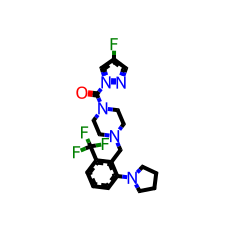 O=C(N1CCN(Cc2c(N3CCCC3)cccc2C(F)(F)F)CC1)n1cc(F)cn1